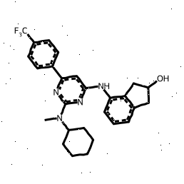 CN(c1nc(Nc2cccc3c2CC(O)C3)cc(-c2ccc(C(F)(F)F)cc2)n1)C1CCCCC1